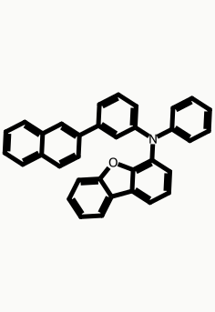 c1ccc(N(c2cccc(-c3ccc4ccccc4c3)c2)c2cccc3c2oc2ccccc23)cc1